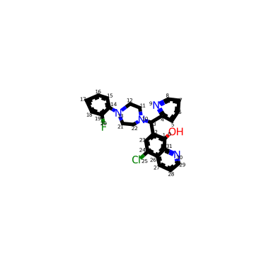 Oc1c(C(c2ccccn2)N2CCN(c3ccccc3F)CC2)cc(Cl)c2cccnc12